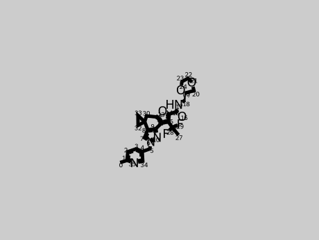 Cc1ccc(Cn2cc3c(n2)-c2c(oc(C(=O)NC[C@@H]4COCCO4)c2C(C)(F)F)CC32CC2)cn1